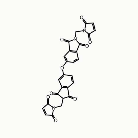 O=C1c2ccc(Oc3ccc4c(c3)C(=O)N(CN3C(=O)C=CC3=O)C4=O)cc2C(=O)C1CN1C(=O)C=CC1=O